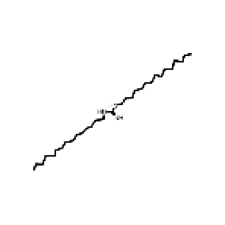 CCCCCCCCCCCCCCCNC(=N)NCCCCCCCCCCCCCCC